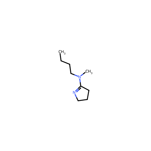 CCCCN(C)C1=NCCC1